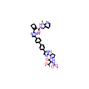 COC(=O)N[C@H](C(=O)N1CCC[C@H]1c1ncc(-c2ccc(-c3ccc(-c4cnc(C5C6CCC(C6)[C@@H]5C(=O)NCc5cccnc5SC)[nH]4)cc3)cc2)[nH]1)[C@@H](C)OC